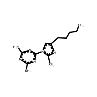 CCCCCc1cn(-c2nc(N)nc(N)n2)c(C)n1